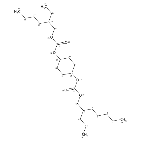 CCCCCC(CCC)COC(=O)OC1CCC(OC(=O)OCC(CC)CCCC)CC1